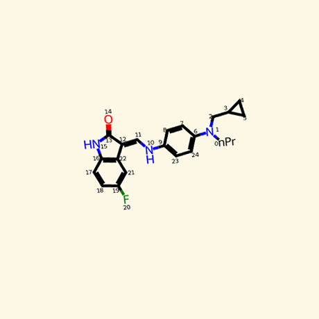 CCCN(CC1CC1)c1ccc(N/C=C2/C(=O)Nc3ccc(F)cc32)cc1